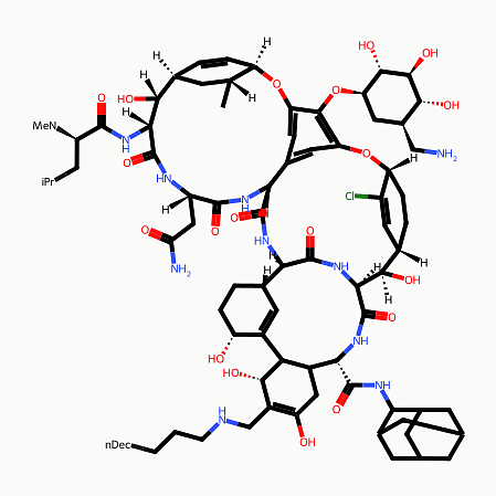 CCCCCCCCCCCCCNCC1=C(O)CC2C(C3=C[C@H](CC[C@H]3O)[C@H]3NC(=O)[C@@H]4NC(=O)[C@H](CC(N)=O)NC(=O)[C@H](NC(=O)[C@@H](CC(C)C)NC)[C@H](O)[C@H]5C=C[C@@H](Oc6cc4cc(c6O[C@@H]4C[C@H](CN)[C@@H](O)[C@H](O)[C@H]4O)O[C@@H]4CC[C@@H](C=C4Cl)[C@@H](O)[C@H](NC3=O)C(=O)N[C@@H]2C(=O)NC2C3CC4CC(C3)CC2C4)[C@H](C)C5)[C@H]1O